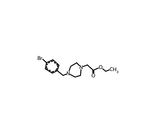 CCOC(=O)CN1CCN(Cc2ccc(Br)cc2)CC1